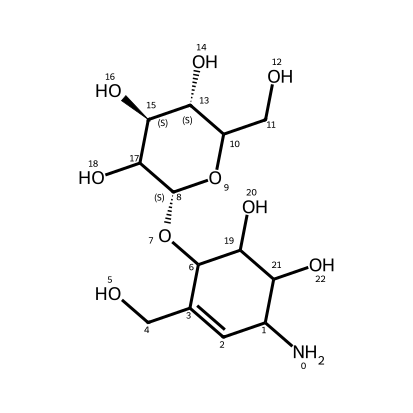 NC1C=C(CO)C(O[C@H]2OC(CO)[C@@H](O)[C@H](O)C2O)C(O)C1O